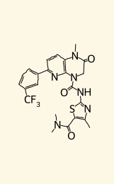 Cc1nc(NC(=O)N2CC(=O)N(C)c3ccc(-c4cccc(C(F)(F)F)c4)nc32)sc1C(=O)N(C)C